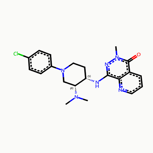 CN(C)[C@@H]1CN(c2ccc(Cl)cc2)CC[C@@H]1Nc1nn(C)c(=O)c2cccnc12